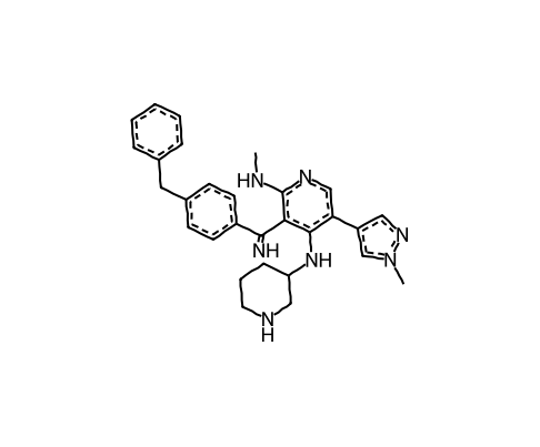 CNc1ncc(-c2cnn(C)c2)c(NC2CCCNC2)c1C(=N)c1ccc(Cc2ccccc2)cc1